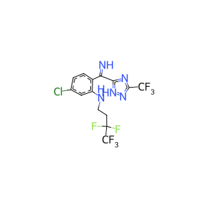 N=C(c1nc(C(F)(F)F)n[nH]1)c1ccc(Cl)cc1NCCC(F)(F)C(F)(F)F